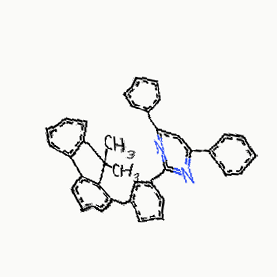 CC1(C)c2ccccc2-c2cccc(-c3cccc(-c4nc(-c5ccccc5)cc(-c5ccccc5)n4)c3)c21